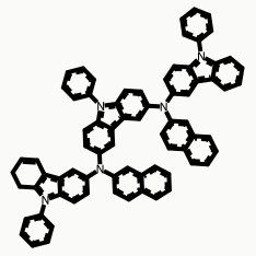 C1=Cc2c(n(-c3ccccc3)c3ccc(N(c4ccc5ccccc5c4)c4ccc5c(c4)c4cc(N(c6ccc7ccccc7c6)c6ccc7c(c6)c6ccccc6n7-c6ccccc6)ccc4n5-c4ccccc4)cc23)CC1